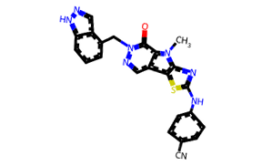 Cn1c2nc(Nc3ccc(C#N)cc3)sc2c2cnn(Cc3cccc4[nH]ncc34)c(=O)c21